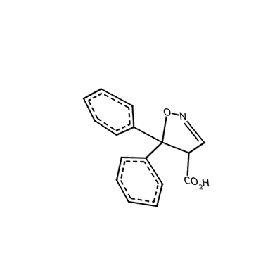 O=C(O)C1C=NOC1(c1ccccc1)c1ccccc1